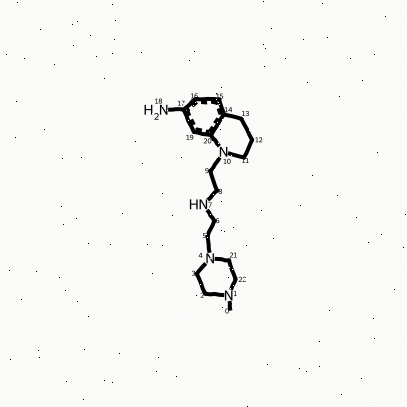 CN1CCN(CCNCCN2CCCc3ccc(N)cc32)CC1